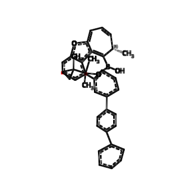 C[C@H]1C=CC=c2oc3cccc(-c4cccc(-c5ccc(-c6ccccc6)cc5)c4)c3c2=C1B(O)OC(C)(C)C1(C)CC1